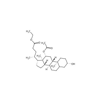 CCOC(=O)CC[C@@H](C)[C@H]1CC[C@H]2[C@@H]3CCC4C[C@@H](O)CC[C@]4(C)[C@H]3C[C@@H](OC(C)=O)[C@]12C